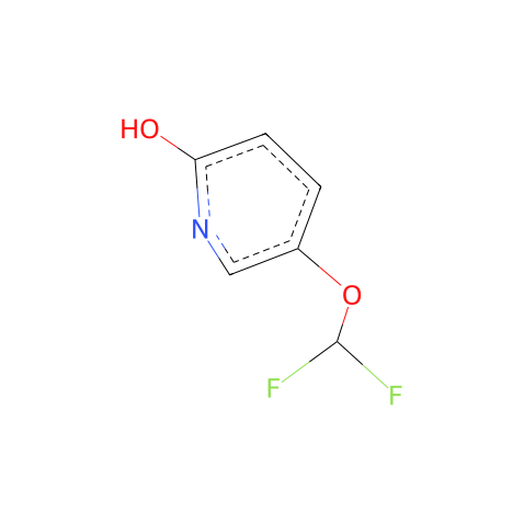 Oc1ccc(OC(F)F)cn1